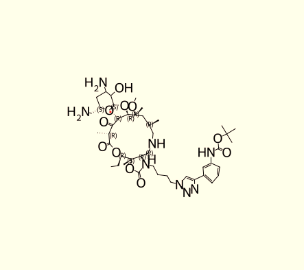 CC[C@H]1OC(=O)[C@H](C)C(=O)[C@H](C)[C@@H](O[C@@H]2O[C@H](CN)CC(N)C2O)[C@](C)(OC)C[C@@H](C)CN[C@H](C)[C@H]2N(CCCCn3cc(-c4cccc(NC(=O)OC(C)(C)C)c4)nn3)C(=O)O[C@]12C